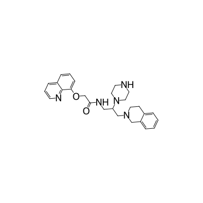 O=C(COc1cccc2cccnc12)NCC(CN1CCc2ccccc2C1)N1CCNCC1